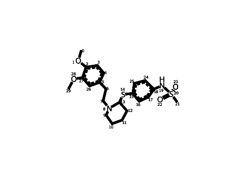 COc1ccc(CCN2CCCCC2Sc2ccc(NS(C)(=O)=O)cc2)cc1OC